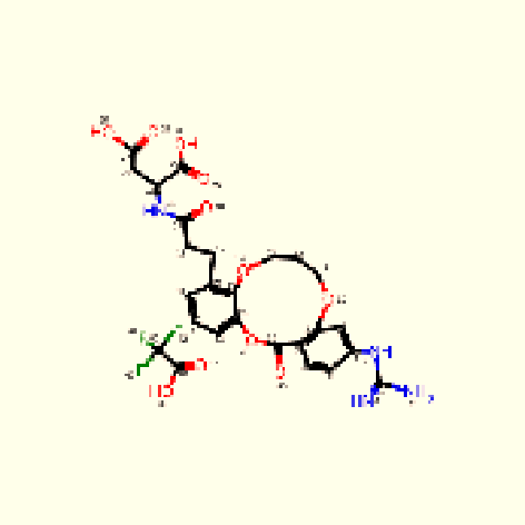 N=C(N)Nc1ccc2c(c1)OCCCOc1c(CCC(=O)NC(CC(=O)O)C(=O)O)cccc1OC2=O.O=C(O)C(F)(F)F